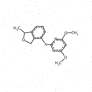 COc1cc(OC)nc(Sc2cccc3c2COC3C)n1